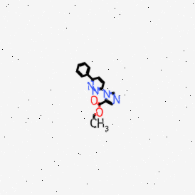 CCOC(=O)c1cncn1-c1ccc(-c2ccccc2)nn1